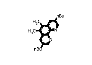 CCCCc1cnc2c(c1)c(C)c(C)c1cc(CCCC)cnc12